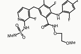 CNS(=O)(=O)Nc1nccc(Cc2cc(C(=O)NOCCOC)c(Nc3ccc(I)cc3F)c(F)c2F)c1F